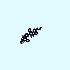 C=C/C=C\C(=C)c1ccc(-c2c(=C/C)/c(=C\C)c(-c3ccc4c(c3)-c3c(c5c(C)c(/C=C\C)oc5c5ccccc35)C4(C)C)c3ccccc23)c2ccccc12